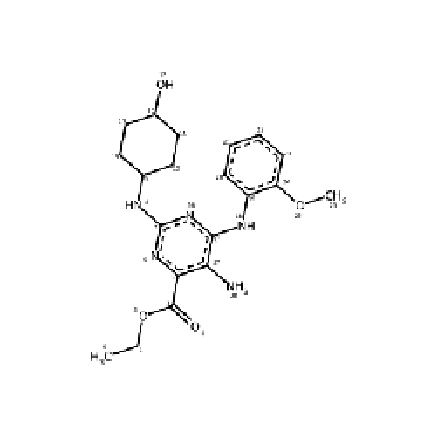 CCOC(=O)c1nc(NC2CCC(O)CC2)nc(Nc2ccccc2OC)c1N